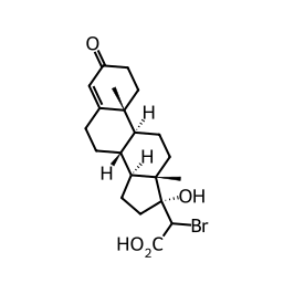 C[C@]12CCC(=O)C=C1CC[C@@H]1[C@@H]2CC[C@@]2(C)[C@H]1CC[C@]2(O)C(Br)C(=O)O